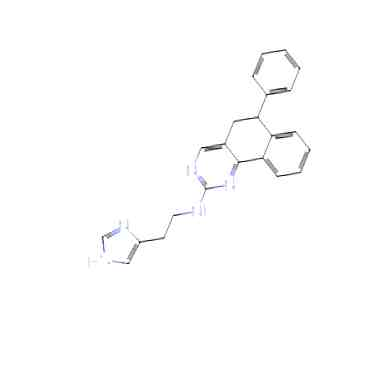 c1ccc(C2Cc3cnc(NCCc4c[nH]cn4)nc3-c3ccccc32)cc1